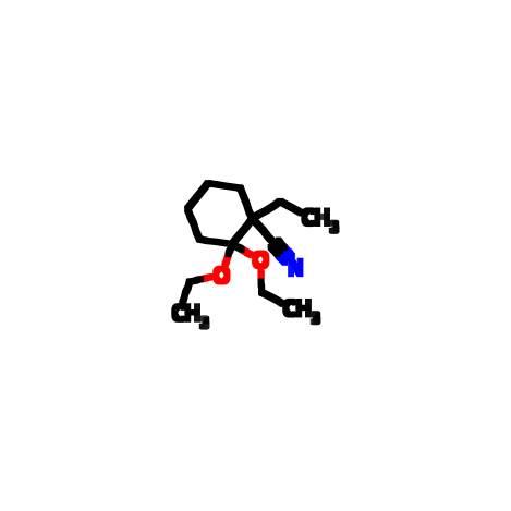 CCOC1(OCC)CCCCC1(C#N)CC